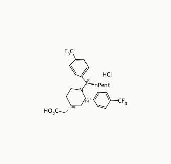 CCCCC[C@H](c1ccc(C(F)(F)F)cc1)N1CC[C@@H](CC(=O)O)C[C@H]1c1ccc(C(F)(F)F)cc1.Cl